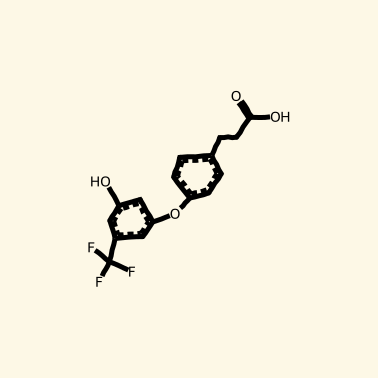 O=C(O)CCc1ccc(Oc2cc(O)cc(C(F)(F)F)c2)cc1